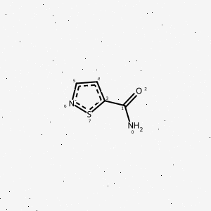 NC(=O)c1ccns1